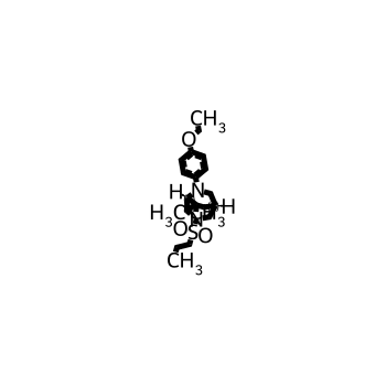 CCCS(=O)(=O)N1C[C@@H]2CN(c3ccc(OCC)cc3)[C@H](C1)C(C)(C)C2